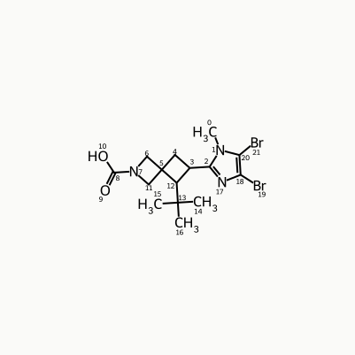 Cn1c(C2CC3(CN(C(=O)O)C3)C2C(C)(C)C)nc(Br)c1Br